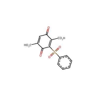 O=C(O)C1=CC(=O)C(C(=O)O)=C(S(=O)(=O)c2ccccc2)C1=O